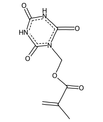 C=C(C)C(=O)OCn1c(=O)[nH]c(=O)[nH]c1=O